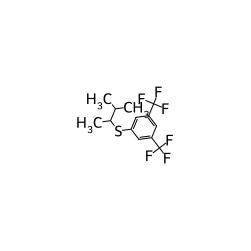 CC(C)C(C)Sc1cc(C(F)(F)F)cc(C(F)(F)F)c1